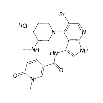 CNC1CCCN(c2c(Br)cnc3[nH]cc(NC(=O)c4ccc(=O)n(C)c4)c23)C1.Cl